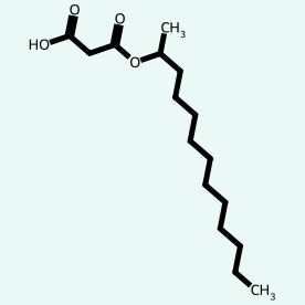 CCCCCCCCCCCC(C)OC(=O)CC(=O)O